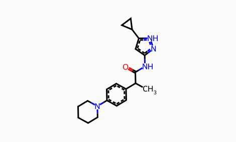 CC(C(=O)Nc1cc(C2CC2)[nH]n1)c1ccc(N2CCCCC2)cc1